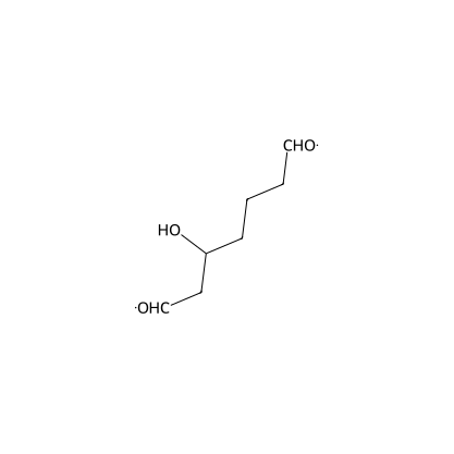 O=[C]CCCC(O)C[C]=O